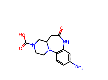 Nc1ccc2c(c1)NC(=O)CC1CN(C(=O)O)CCN21